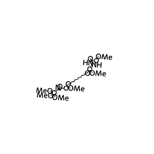 COc1ccc2c(c1)C(=O)NC(c1ccc(OCCCCCCCCCCOc3cc(-c4cc(-c5cc(OC)c(OC)c(OC)c5)no4)ccc3OC)c(OC)c1)N2